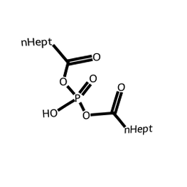 CCCCCCCC(=O)OP(=O)(O)OC(=O)CCCCCCC